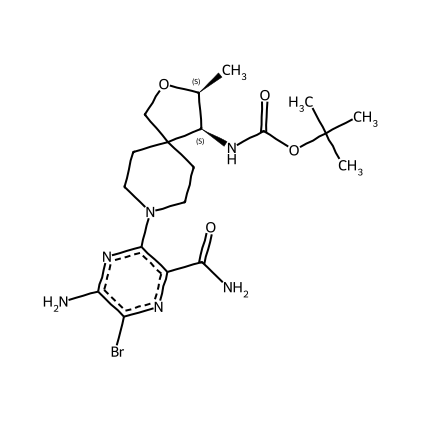 C[C@@H]1OCC2(CCN(c3nc(N)c(Br)nc3C(N)=O)CC2)[C@@H]1NC(=O)OC(C)(C)C